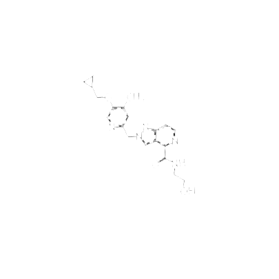 Cc1cc(Cn2cc3c(C(=O)NCCO)nccc3n2)ncc1OCC1CC1